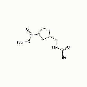 CC(C)C(=O)NCC1CCN(C(=O)OC(C)(C)C)C1